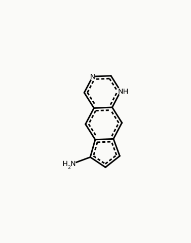 Nc1ccc2cc3[nH]cncc3cc12